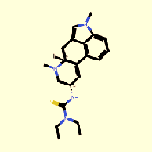 CCN(CC)C(=S)N[C@H]1C=C2c3cccc4c3c(cn4C)C[C@H]2N(C)C1